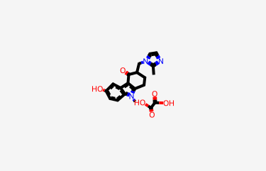 Cc1nccn1CC1CCc2c(c3cc(O)ccc3n2C)C1=O.O=C(O)C(=O)O